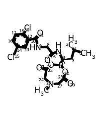 CC(C)C[C@H](NC(=O)CNC(=O)c1cc(Cl)ccc1Cl)B1OC(=O)CN(C)CC(=O)O1